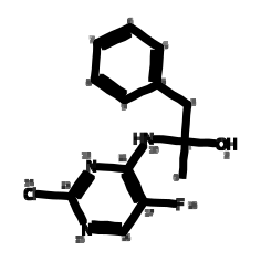 CC(O)(Cc1ccccc1)Nc1nc(Cl)ncc1F